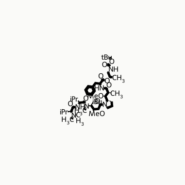 CC[C@H](C)[C@@H]([C@@H](CC(=O)N1CCC[C@H]1[C@H](OC)[C@@H](C)C(=O)NC(Cc1ccccc1)C(=O)OC(C)CNC(=O)OC(C)(C)C)OC)N(C)C(=O)[C@@H](NC(=O)[C@H](C(C)C)N(C)C)C(C)C